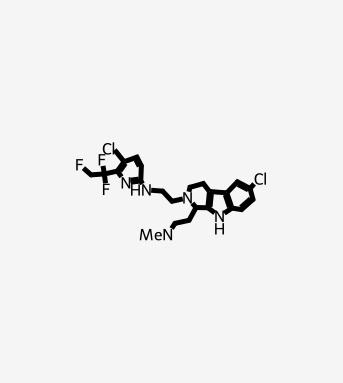 CNCCC1c2[nH]c3ccc(Cl)cc3c2CCN1CCNc1ccc(Cl)c(C(F)(F)CF)n1